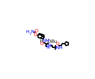 CC(C)COc1c(C(=O)N[C@H]2C3CC4CC2C[C@](OC(N)=O)(C4)C3)cnn1/C=C/C(C)(C)NC(=O)CCC1CCCC1